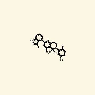 BC1(B)c2c(C)cc(-c3cccc4[nH]nc(C)c34)nc2CCN1c1cc(C(C)C)ccc1C